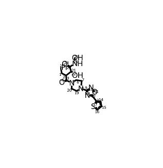 CC(C)CC(C(=O)N1CCN(c2noc(-c3cccs3)n2)CC1)C(O)C(=O)NO